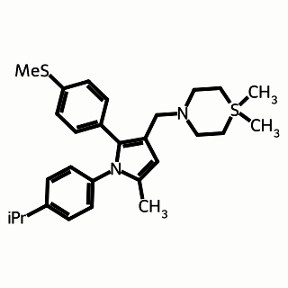 CSc1ccc(-c2c(CN3CCS(C)(C)CC3)cc(C)n2-c2ccc(C(C)C)cc2)cc1